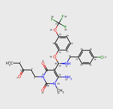 CCC(=O)CCn1c(=O)c([C@H](NCc2ccc(Cl)cc2)Oc2cccc(OC(F)(F)F)c2)c(N)n(C)c1=O